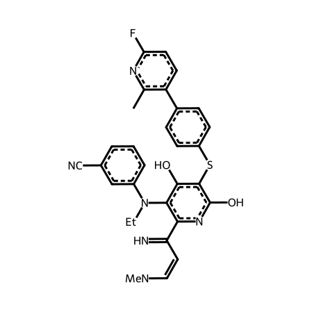 CCN(c1cccc(C#N)c1)c1c(C(=N)/C=C\NC)nc(O)c(Sc2ccc(-c3ccc(F)nc3C)cc2)c1O